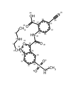 CCNCC.CNS(=O)(=O)c1ccc2noc(C(=O)Nc3ccc(C#N)cc3C(=O)O)c2c1